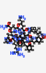 N=C(N)NCCC[C@H](NC(=O)[C@@H]1CCCN1C(=O)[C@H](Cc1ccccc1)NC(=O)[C@@H](N)Cc1ccc(O)cc1)C(=O)N[C@@H](Cc1c[nH]cn1)C(=O)N[C@@H](CCC(N)=O)C(=O)N[C@@H](CCCCN)C(=O)N[C@@H](Cc1c[nH]c2ccccc12)C(=O)N[C@@H](CCCCN)C(=O)O